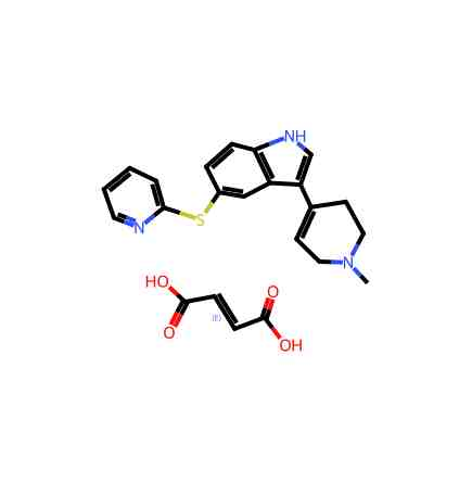 CN1CC=C(c2c[nH]c3ccc(Sc4ccccn4)cc23)CC1.O=C(O)/C=C/C(=O)O